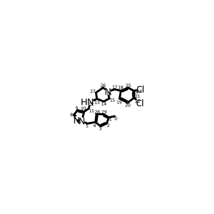 Cc1ccc(Cn2nccc2CNC2CCN(Cc3ccc(Cl)c(Cl)c3)CC2)cc1